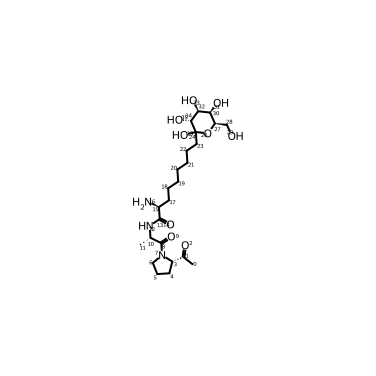 CC(=O)[C@@H]1CCCN1C(=O)[C@H](C)NC(=O)[C@@H](N)CCCCCCCC1(O)O[C@H](CO)[C@H](O)[C@H](O)[C@H]1O